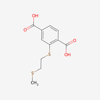 CSCCSc1cc(C(=O)O)ccc1C(=O)O